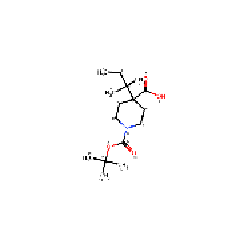 CCC(C)(C)C1(C(=O)O)CCN(C(=O)OC(C)(C)C)CC1